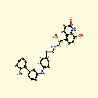 CC(C)c1ccccc1-c1cccc(Nc2ccc(CCNC[C@H](O)c3ccc(O)c4[nH]c(=O)ccc34)cc2)c1